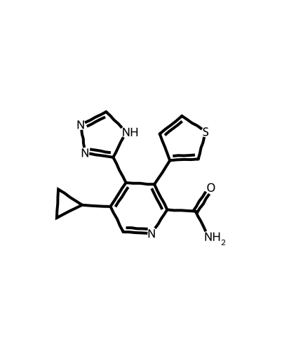 NC(=O)c1ncc(C2CC2)c(-c2nnc[nH]2)c1-c1ccsc1